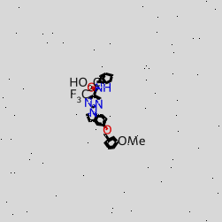 COc1cccc(COc2ccc3c(c2)CCN3c2ncc(C(=O)NC3(C(=O)O)CC4CCC3C4)c(C(F)(F)F)n2)c1